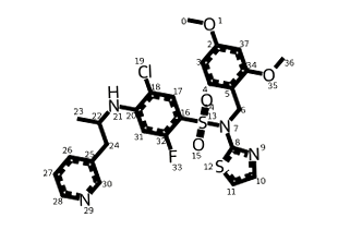 COc1ccc(CN(c2nccs2)S(=O)(=O)c2cc(Cl)c(NC(C)Cc3cccnc3)cc2F)c(OC)c1